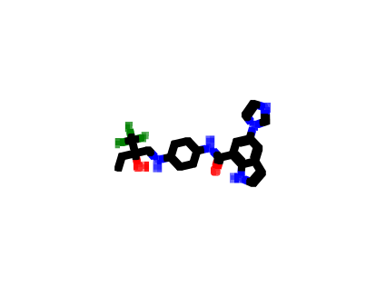 CCC(O)(CNC1CCC(NC(=O)c2cc(-n3ccnc3)cc3cc[nH]c23)CC1)C(F)(F)F